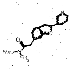 CON(C)C(=O)Cc1ccc2cc(-c3cccnc3)oc2c1